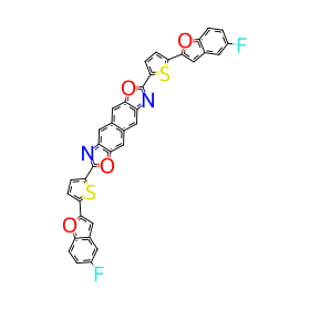 Fc1ccc2oc(-c3ccc(-c4nc5cc6cc7oc(-c8ccc(-c9cc%10cc(F)ccc%10o9)s8)nc7cc6cc5o4)s3)cc2c1